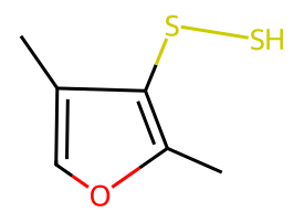 Cc1coc(C)c1SS